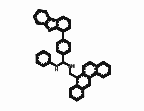 c1ccc(NC(NCc2c3ccccc3cc3c2ccc2ccccc23)c2ccc(-c3cccc4c3sc3ccccc34)cc2)cc1